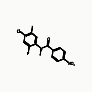 Cc1cc(N(C)C(=O)c2ccc([N+](=O)[O-])cc2)c(F)cc1Cl